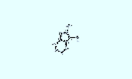 Brc1oc2ncccc2c1Br